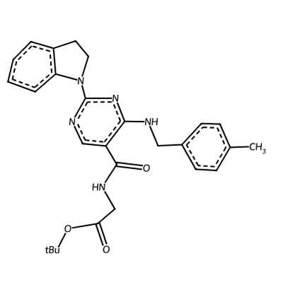 Cc1ccc(CNc2nc(N3CCc4ccccc43)ncc2C(=O)NCC(=O)OC(C)(C)C)cc1